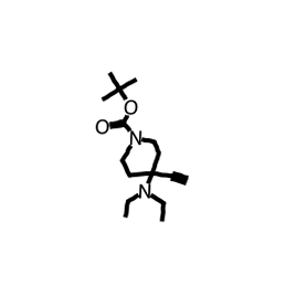 C#CC1(N(CC)CC)CCN(C(=O)OC(C)(C)C)CC1